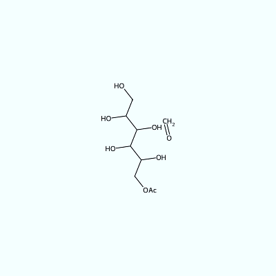 C=O.CC(=O)OCC(O)C(O)C(O)C(O)CO